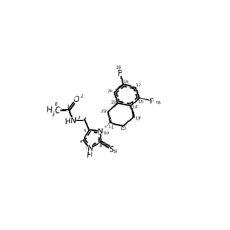 CC(=O)NCc1c[nH]c(=S)n1[C@H]1CCc2c(F)cc(F)cc2C1